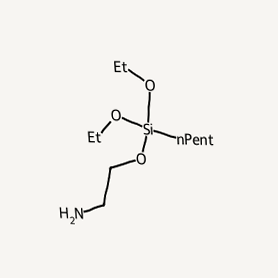 CCCCC[Si](OCC)(OCC)OCCN